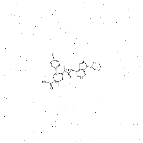 C[C@H]1CN(C(=O)C(=O)Nc2cncc3c2cnn3[C@H]2CCCCO2)[C@H](c2ccc(F)cc2)CN1C(=O)C(C)(C)C